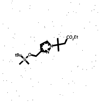 CCOC(=O)CC(C)(C)n1ccc(CO[Si](C)(C)C(C)(C)C)n1